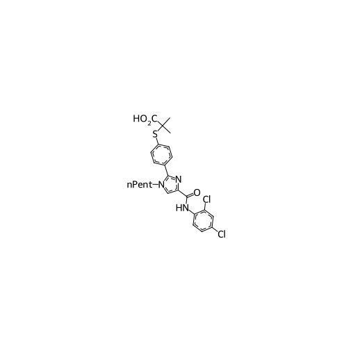 CCCCCn1cc(C(=O)Nc2ccc(Cl)cc2Cl)nc1-c1ccc(SC(C)(C)C(=O)O)cc1